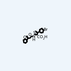 O=C(Cc1coc2ccccc12)Nc1scc(-c2ccc(Br)cc2)c1C(=O)O